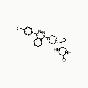 O=C1CN[C@H](C(=O)N2CCN(c3nnc(-c4ccc(Cl)cc4)c4ccccc34)CC2)CN1